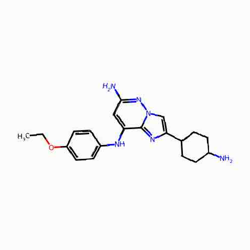 CCOc1ccc(Nc2cc(N)nn3cc(C4CCC(N)CC4)nc23)cc1